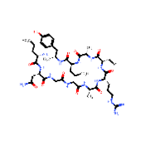 CC(C)C[C@H](NC(=O)[C@H](CCCNC(=N)N)NC(=O)[C@H](C)NC(=O)CNC(=O)CNC(=O)[C@H](CC(N)=O)NC(=O)[C@@H](N)CCC(=O)O)C(=O)N[C@@H](C)C(=O)N[C@@H](CCC(=O)O)C(=O)N[C@@H](Cc1ccc(O)cc1)C(=O)O